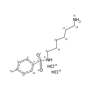 Cc1ccc(S(=O)(=O)NCCCCCCN)cc1.Cl.Cl